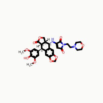 COc1cc([C@@H]2c3cc4c(cc3[C@@H](NC3=CC(=O)N(CCN5CCOCC5)C3=O)[C@H]3COC(=O)[C@H]23)OCO4)cc(OC)c1O